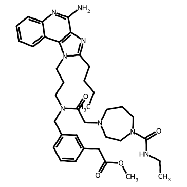 CCCCc1nc2c(N)nc3ccccc3c2n1CCCN(Cc1cccc(CC(=O)OC)c1)C(=O)CN1CCCN(C(=O)NCC)CC1